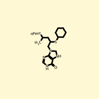 CCCCCC(C)CC(CN1CNc2c1nc[nH]c2=O)SC1CCCCC1